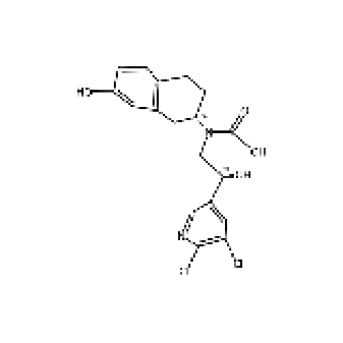 O=C(O)N(C[C@@H](O)c1cnc(Cl)c(Cl)c1)[C@H]1CCc2ccc(O)cc2C1